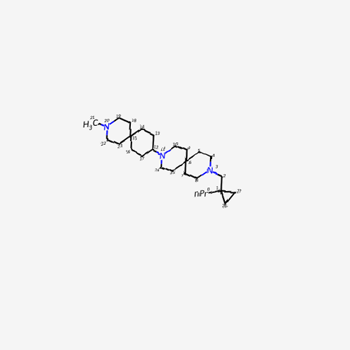 CCCC1(CN2CCC3(CC2)CCN(C2CCC4(CC2)CCN(C)CC4)CC3)CC1